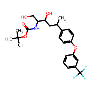 CC(CC(O)C(CO)NC(=O)OC(C)(C)C)c1ccc(Oc2cccc(C(F)(F)F)c2)cc1